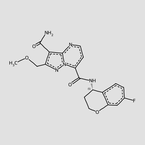 COCc1nn2c(C(=O)N[C@H]3CCOc4cc(F)ccc43)ccnc2c1C(N)=O